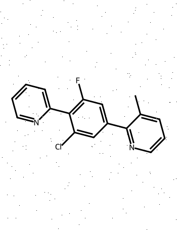 Cc1cccnc1-c1cc(F)c(-c2ccccn2)c(Cl)c1